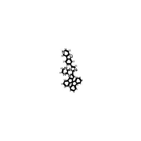 c1ccc2c(c1)-c1ccccc1C21c2ccccc2-c2c1cc1c3ncc(-c4ccc5c(c4)oc4ccncc45)n3c3nccnc3n21